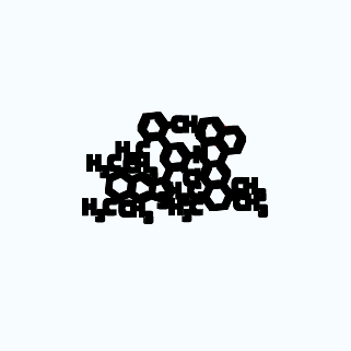 Cc1cccc(C)c1-c1cc(-c2csc3cc4c(cc23)C(C)(C)CCC4(C)C)c(Cl)c(N(c2ccccc2)c2cc3c(cc2-c2ccccc2)C(C)(C)CCC3(C)C)c1